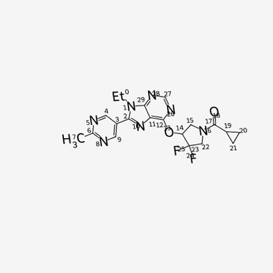 CCn1c(-c2cnc(C)nc2)nc2c(OC3CN(C(=O)C4CC4)CC3(F)F)ncnc21